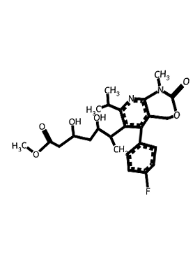 COC(=O)CC(O)CC(O)C(C)c1c(C(C)C)nc2c(c1-c1ccc(F)cc1)COC(=O)N2C